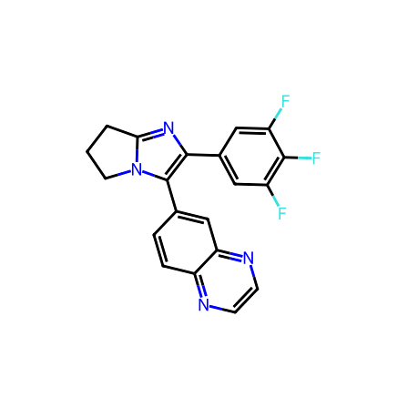 Fc1cc(-c2nc3n(c2-c2ccc4nccnc4c2)CCC3)cc(F)c1F